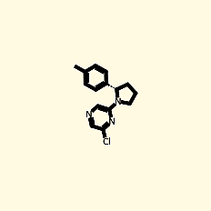 Cc1ccc([C@@H]2CCCN2c2cncc(Cl)n2)cc1